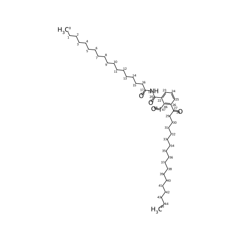 CCCCCCCCCCCCCCCCCC(=O)NC(=O)c1cccc(C(=O)CCCCCCCCCCCCCCCCC)c1I=O